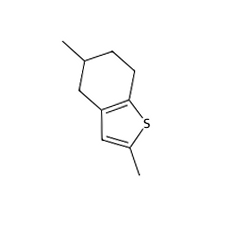 Cc1cc2c(s1)CCC(C)C2